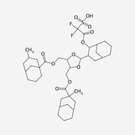 CC1CC2CCCC(C(=O)OCC3OC(C4CC5CCCC(C5)C4OC(=O)C(F)(F)S(=O)(=O)O)OC3COC(=O)C3(C)CC4CCCC(C4)C3)(C1)C2